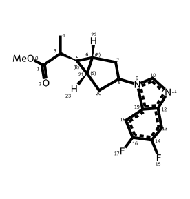 COC(=O)C(C)[C@H]1[C@@H]2CC(n3cnc4cc(F)c(F)cc43)C[C@@H]21